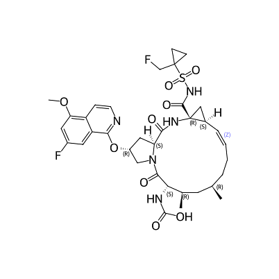 COc1cc(F)cc2c(O[C@@H]3C[C@H]4C(=O)N[C@]5(C(=O)NS(=O)(=O)C6(CF)CC6)C[C@H]5/C=C\CC[C@@H](C)C[C@@H](C)[C@H](NC(=O)O)C(=O)N4C3)nccc12